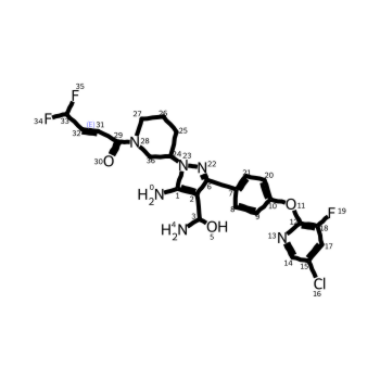 Nc1c(C(N)O)c(-c2ccc(Oc3ncc(Cl)cc3F)cc2)nn1C1CCCN(C(=O)/C=C/C(F)F)C1